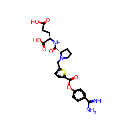 N=C(N)c1ccc(OC(=O)c2ccc(CN3CCC[C@H]3C(=O)N[C@H](CCC(=O)O)C(=O)O)s2)cc1